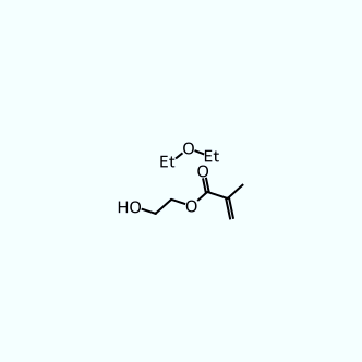 C=C(C)C(=O)OCCO.CCOCC